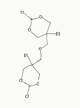 CCC1(COCC2(CC)COP(Cl)OC2)COP(Cl)OC1